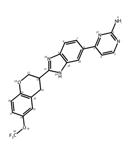 Nc1nccc(-c2ccc3nc(C4COc5ccc(OC(F)(F)F)cc5C4)[nH]c3c2)n1